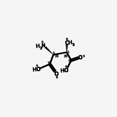 C[C@H](C(=O)O)[C@@H](N)C(=O)O